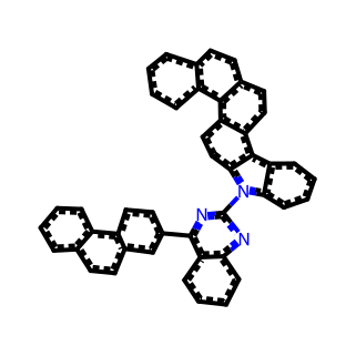 c1ccc2c(c1)ccc1cc(-c3nc(-n4c5ccccc5c5c6ccc7ccc8ccccc8c7c6ccc54)nc4ccccc34)ccc12